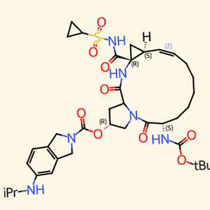 CC(C)Nc1ccc2c(c1)CN(C(=O)O[C@@H]1CC3C(=O)N[C@]4(C(=O)NS(=O)(=O)C5CC5)C[C@H]4/C=C\CCCCC[C@H](NC(=O)OC(C)(C)C)C(=O)N3C1)C2